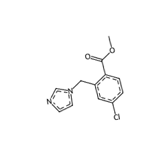 COC(=O)c1ccc(Cl)cc1Cn1ccnc1